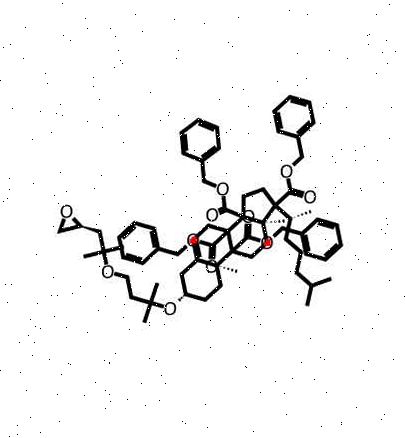 CC(C)CCC[C@@H](C)C1(C(=O)OCc2ccccc2)CCC2(C(=O)OCc3ccccc3)C3(C(=O)OCc4ccccc4)CC=C4C[C@@H](OC(C)(C)CCOC(C)(C)C[C@H]5CO5)CC[C@]4(C)C3(C(=O)OCc3ccccc3)CC[C@]12C